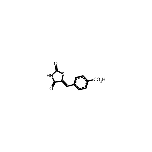 O=C1NC(=O)C(=Cc2ccc(C(=O)O)cc2)S1